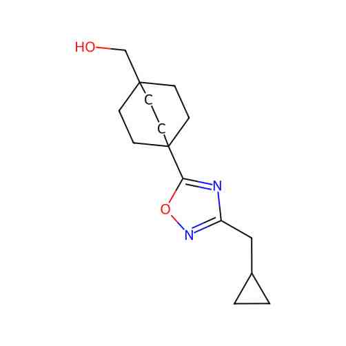 OCC12CCC(c3nc(CC4CC4)no3)(CC1)CC2